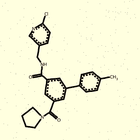 Cc1ccc(-c2cc(C(=O)NCc3ccc(Cl)nc3)cc(C(=O)N3CCCC3)c2)cc1